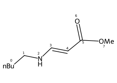 CCCCCNC=CC(=O)OC